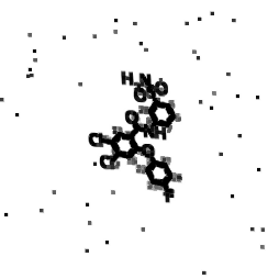 NS(=O)(=O)c1cccc(NC(=O)c2cc(Cl)c(Cl)cc2Oc2ccc(F)cc2)c1